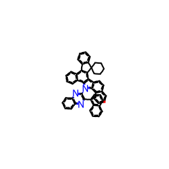 c1ccc2c(c1)-c1c(c3c4ccc5ccccc5c4n(-c4nc5ccccc5nc4-c4cccc5ccccc45)c3c3ccccc13)C21CCCCC1